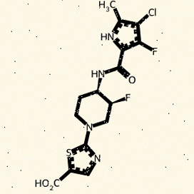 Cc1[nH]c(C(=O)N[C@@H]2CCN(c3ncc(C(=O)O)s3)C[C@@H]2F)c(F)c1Cl